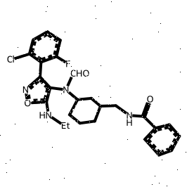 CCNc1onc(-c2c(F)cccc2Cl)c1N(C=O)C1CCCC(CNC(=O)c2ccccc2)C1